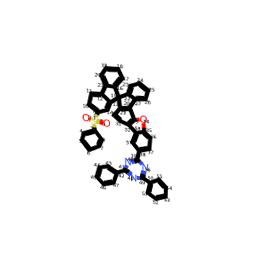 O=S(=O)(c1ccccc1)c1ccc2c(c1)C1(c3ccccc3-2)c2ccccc2-c2c1ccc1c2oc2ccc(-c3nc(-c4ccccc4)nc(-c4ccccc4)n3)cc21